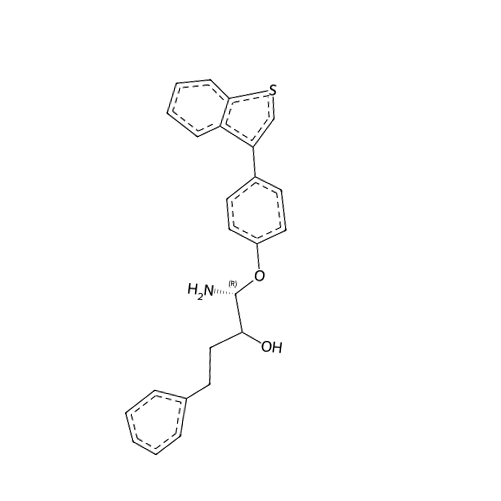 N[C@H](Oc1ccc(-c2csc3ccccc23)cc1)C(O)CCc1ccccc1